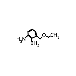 Bc1c(N)cccc1COCC